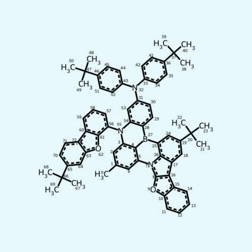 Cc1cc2c3c(c1)-n1c4oc5ccccc5c4c4cc(C(C)(C)C)cc(c41)B3c1ccc(N(c3ccc(C(C)(C)C)cc3)c3ccc(C(C)(C)C)cc3)cc1N2c1cccc2c1oc1cc(C(C)(C)C)ccc12